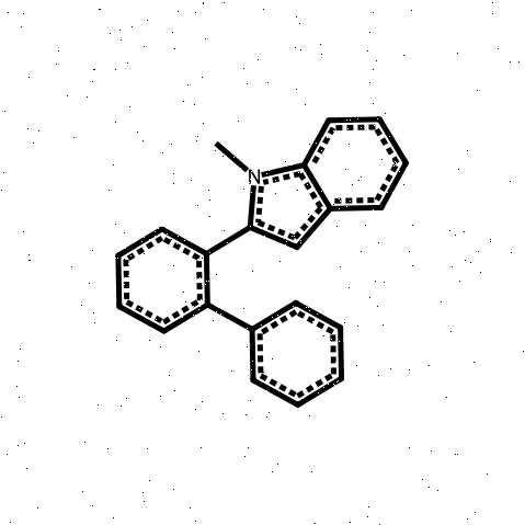 Cn1c(-c2ccccc2-c2ccccc2)cc2ccccc21